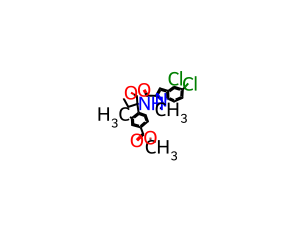 COC(=O)c1ccc(C2(NC(=O)c3cc4c(Cl)c(Cl)ccc4n3C)CCOC2)c(C)c1